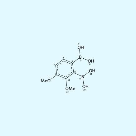 COc1ccc(B(O)O)c(B(O)O)c1OC